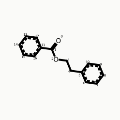 O=C(OCCc1ccccc1)c1ccccc1